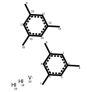 Cc1cc(C)cc(C)c1.Cc1cc(C)cc(C)c1.I.I.[V]